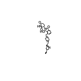 C#Cc1cnn(CCN2CCN(Cc3cccc4c3C(O)N(C3CCC(=O)NC3=O)C4=O)CC2)c1